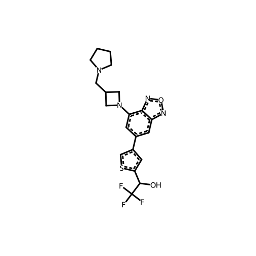 OC(c1cc(-c2cc(N3CC(CN4CCCC4)C3)c3nonc3c2)cs1)C(F)(F)F